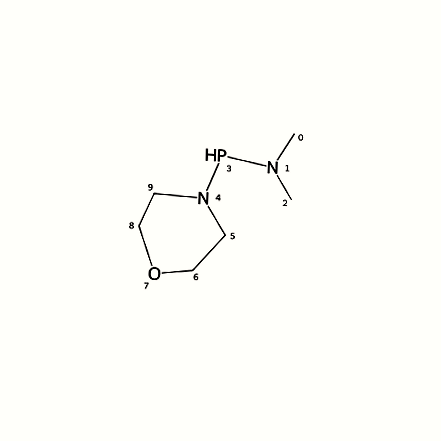 CN(C)PN1CCOCC1